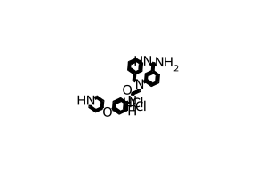 Cl.Cl.N=C(N)c1cccc(N(CC(=O)Nc2ccc(OC3CCNCC3)cc2)Cc2ccccc2)c1